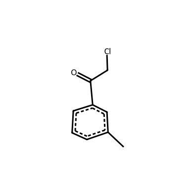 Cc1cccc(C(=O)CCl)c1